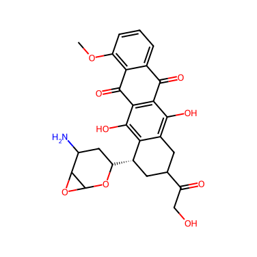 COc1cccc2c1C(=O)c1c(O)c3c(c(O)c1C2=O)CC(C(=O)CO)C[C@@H]3C1CC(N)C2OC2O1